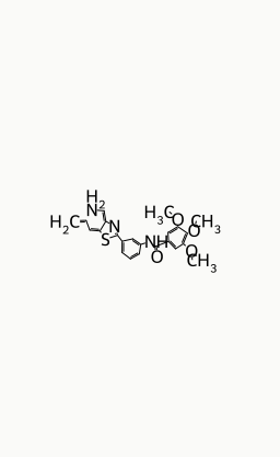 C=C/C=c1/sc(-c2cccc(NC(=O)c3cc(OC)c(OC)c(OC)c3)c2)n/c1=C/N